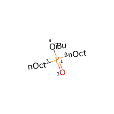 CCCCCCCCP(=O)(CCCCCCCC)OCC(C)C